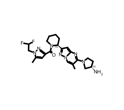 Cc1cn2nc([C@@H]3CCCCN3C(=O)c3cc(C)n(CC(F)F)n3)cc2nc1N1CC[C@H](N)C1